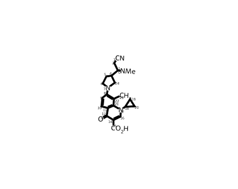 CNC(CC#N)C1CCN(c2ccc3c(=O)c(C(=O)O)cn(C4CC4)c3c2C)C1